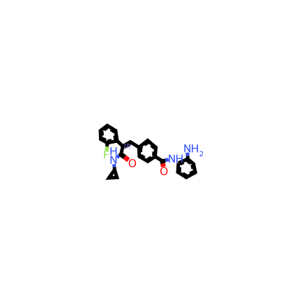 Nc1ccccc1NC(=O)c1ccc(/C=C(\C(=O)NC2CC2)c2ccccc2F)cc1